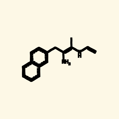 C=CN/C(C)=C(\N)Cc1ccc2ccccc2c1